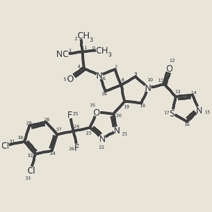 CC(C)(C#N)C(=O)N1CC2(CN(C(=O)c3cncs3)CC2c2nnc(C(F)(F)c3ccc(Cl)c(Cl)c3)o2)C1